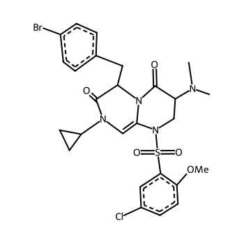 COc1ccc(Cl)cc1S(=O)(=O)N1CC(N(C)C)C(=O)N2C1=CN(C1CC1)C(=O)C2Cc1ccc(Br)cc1